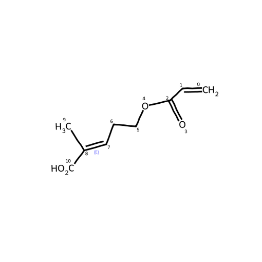 C=CC(=O)OCC/C=C(\C)C(=O)O